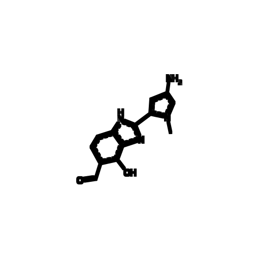 Cn1cc(N)cc1-c1nc2c(O)c(C=O)ccc2[nH]1